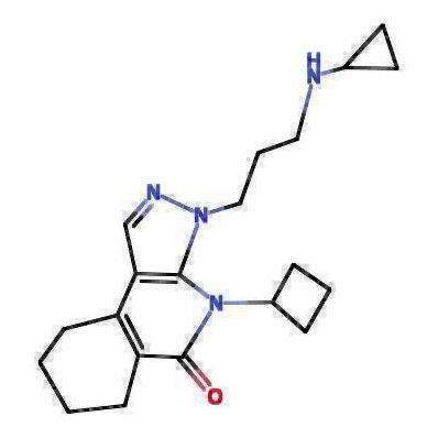 O=c1c2c(c3cnn(CCCNC4CC4)c3n1C1CCC1)CCCC2